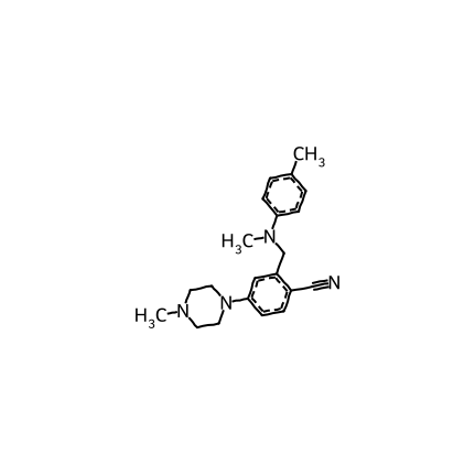 Cc1ccc(N(C)Cc2cc(N3CCN(C)CC3)ccc2C#N)cc1